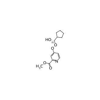 COC(=O)c1cc(OO[C@H](O)C2CCCC2)ccn1